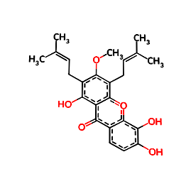 COc1c(CC=C(C)C)c(O)c2c(=O)c3ccc(O)c(O)c3oc2c1CC=C(C)C